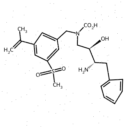 C=C(C)c1cc(CN(C[C@@H](O)[C@@H](N)Cc2ccccc2)C(=O)O)cc(S(C)(=O)=O)c1